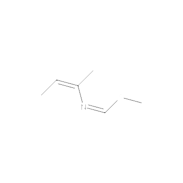 C/C=C(C)\N=C/SC